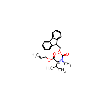 C=CCOC(=O)[C@H](C(C)C)N(C)C(=O)OCC1c2ccccc2-c2ccccc21